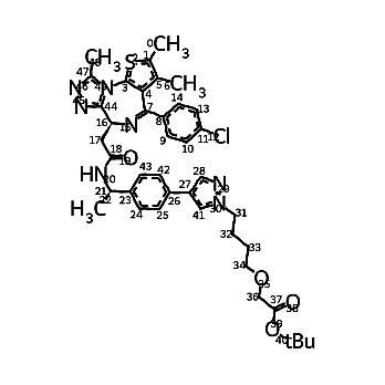 Cc1sc2c(c1C)C(c1ccc(Cl)cc1)=N[C@@H](CC(=O)N[C@H](C)c1ccc(-c3cnn(CCCCOCC(=O)OC(C)(C)C)c3)cc1)c1nnc(C)n1-2